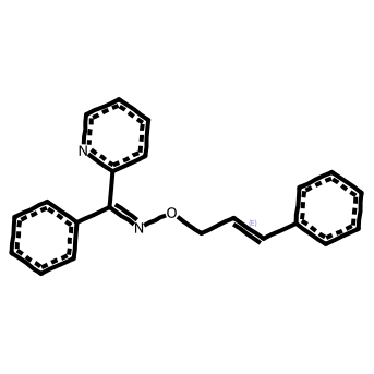 C(=C\c1ccccc1)/CON=C(c1ccccc1)c1ccccn1